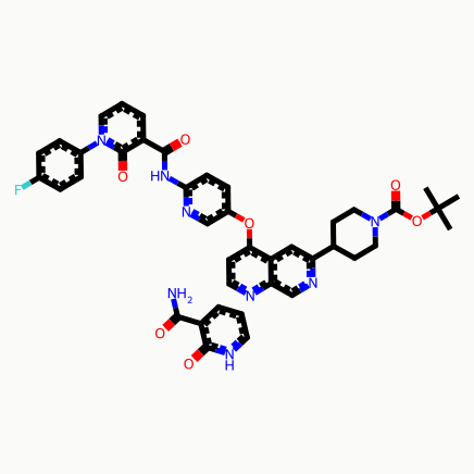 CC(C)(C)OC(=O)N1CCC(c2cc3c(Oc4ccc(NC(=O)c5cccn(-c6ccc(F)cc6)c5=O)nc4)ccnc3cn2)CC1.NC(=O)c1ccc[nH]c1=O